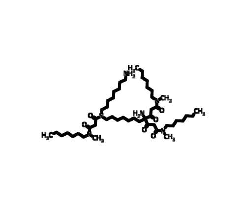 CCCCCCCN(C)C(=O)CC(=O)N(CCCCCCCCN)CCCCCCCC(N)(C(=O)CC(=O)N(C)CCCCCCC)C(=O)CC(=O)N(C)CCCCCCC